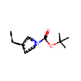 CCc1ccn(C(=O)OC(C)(C)C)c1